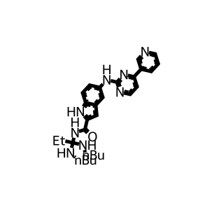 CCCCNC(CC)(NCCCC)NC(=O)c1cc2cc(Nc3nccc(-c4cccnc4)n3)ccc2[nH]1